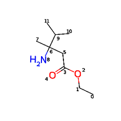 CCOC(=O)CC(C)(N)C(C)C